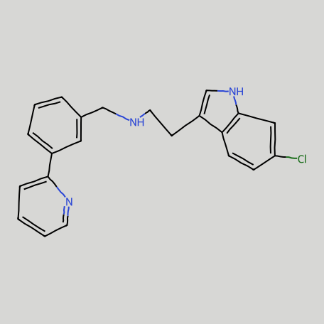 Clc1ccc2c(CCNCc3cccc(-c4ccccn4)c3)c[nH]c2c1